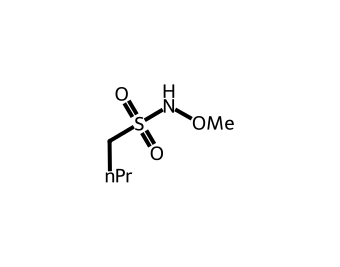 CCCCS(=O)(=O)NOC